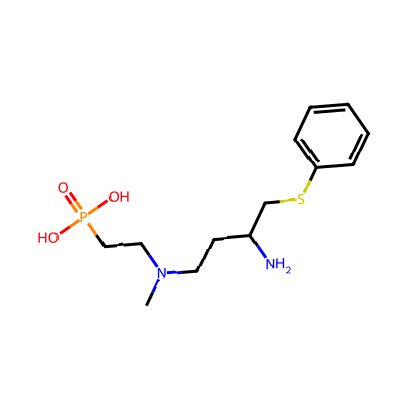 CN(CCC(N)CSc1ccccc1)CCP(=O)(O)O